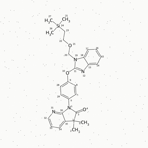 CC1(C)C(=O)N(c2ccc(Oc3nc4ccccc4n3COCC[Si](C)(C)C)cc2)c2ncccc21